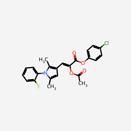 CC(=O)OC(=Cc1cc(C)n(-c2ccccc2F)c1C)C(=O)Oc1ccc(Cl)cc1